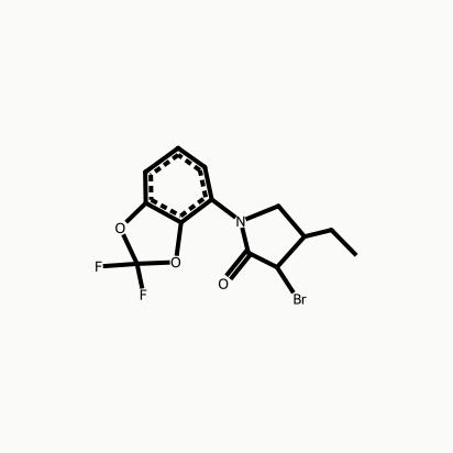 CCC1CN(c2cccc3c2OC(F)(F)O3)C(=O)C1Br